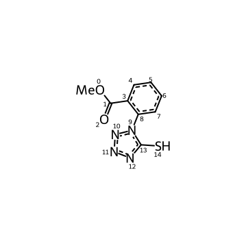 COC(=O)c1ccccc1-n1nnnc1S